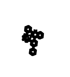 CC1(C)OB(c2cc(-c3ccccc3)ccc2-c2nc(-c3ccccc3)nc3ccccc23)OC1(C)C